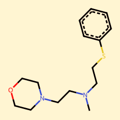 CN(CCSc1ccccc1)CCN1CCOCC1